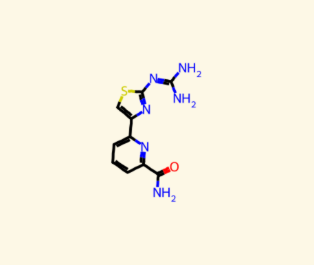 NC(=O)c1cccc(-c2csc(N=C(N)N)n2)n1